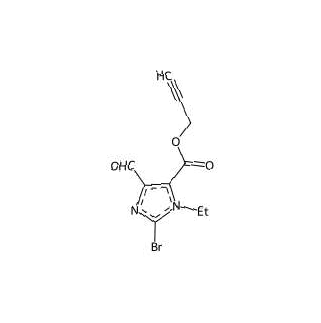 C#CCOC(=O)c1c(C=O)nc(Br)n1CC